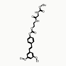 CCOc1cc(/C=C/c2ccc(OC(=O)OCCNC(=O)CNC(=O)OC(C)(C)C)cc2)cc(OCC)c1